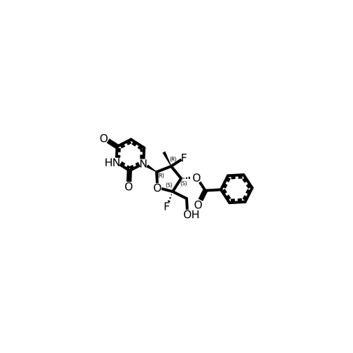 C[C@]1(F)[C@H](n2ccc(=O)[nH]c2=O)O[C@](F)(CO)[C@H]1OC(=O)c1ccccc1